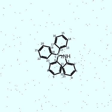 c1ccc(NS(c2ccccc2)(c2ccccc2)c2ccccc2)cc1